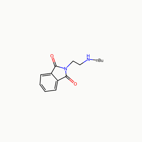 CCCCNCCN1C(=O)c2ccccc2C1=O